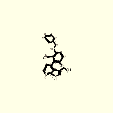 OCc1c[nH]c2nccc(-c3c(F)ccc(OCc4ccccc4)c3Cl)c12